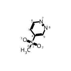 CS(=O)(=O)c1c[c]nnc1